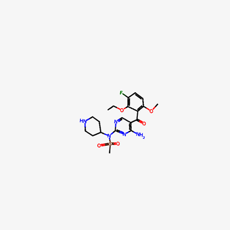 CCOc1c(F)ccc(OC)c1C(=O)c1cnc(N(C2CCNCC2)S(C)(=O)=O)nc1N